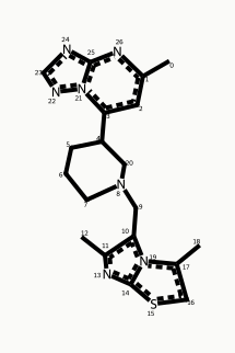 Cc1cc(C2CCCN(Cc3c(C)nc4scc(C)n34)C2)n2ncnc2n1